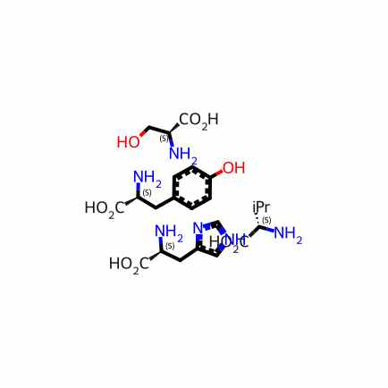 CC(C)[C@H](N)C(=O)O.N[C@@H](CO)C(=O)O.N[C@@H](Cc1c[nH]cn1)C(=O)O.N[C@@H](Cc1ccc(O)cc1)C(=O)O